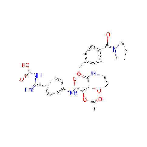 CC(=O)O[C@@H](C(=O)Nc1ccc(C(=N)NC(=O)O)cc1)[C@H]1OCCN(c2cc(C(=O)N3CCCC3)ccc2C)C1=O